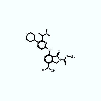 CC(c1nc(Nc2ccc(B(O)O)c3c2C(=O)N(C(=O)OC(C)(C)C)C3)ccc1C1CCOCC1)N(C)C